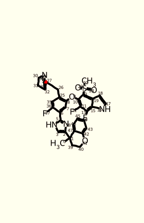 CC1(c2c[nH]c(-c3cc(Oc4c(F)c(F)c5[nH]ccc5c4S(C)(=O)=O)c(CC4CN5CCC4CC5)cc3F)n2)CCOc2ccccc21